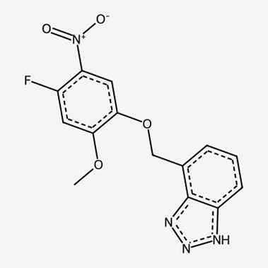 COc1cc(F)c([N+](=O)[O-])cc1OCc1cccc2[nH]nnc12